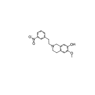 COc1cc2c(cc1O)CN(CCc1cccc([N+](=O)[O-])c1)CC2